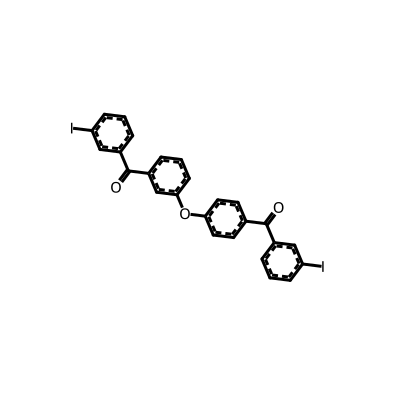 O=C(c1ccc(Oc2cccc(C(=O)c3cccc(I)c3)c2)cc1)c1cccc(I)c1